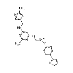 Cc1nc(NCc2nnc(C)s2)cc(OC[C@H]2C[C@@H]2c2ccc(-c3cscn3)cn2)n1